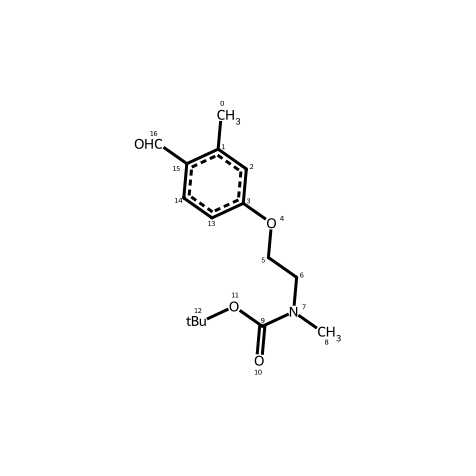 Cc1cc(OCCN(C)C(=O)OC(C)(C)C)ccc1C=O